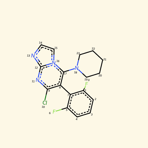 Fc1cccc(F)c1-c1c(Cl)nc2nccn2c1N1CCCCC1